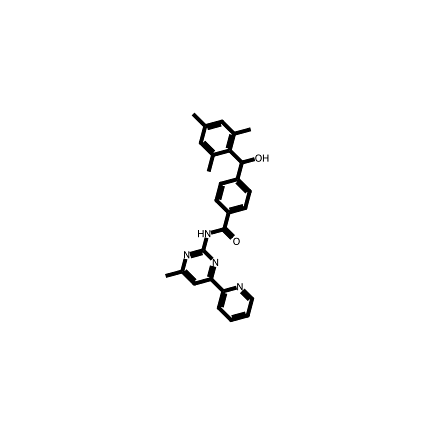 Cc1cc(C)c(C(O)c2ccc(C(=O)Nc3nc(C)cc(-c4ccccn4)n3)cc2)c(C)c1